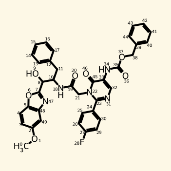 COc1ccc2oc(C(O)C(Cc3ccccc3)NC(=O)Cn3c(-c4ccc(F)cc4)ncc(NC(=O)OCc4ccccc4)c3=O)nc2c1